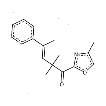 C/C(=C\C(C)(C)C(=O)c1nc(C)co1)c1ccccc1